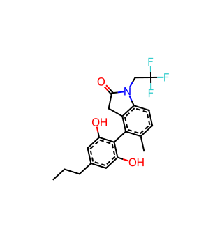 CCCc1cc(O)c(-c2c(C)ccc3c2CC(=O)N3CC(F)(F)F)c(O)c1